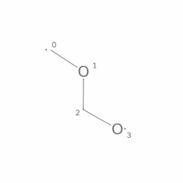 [CH2]OC[O]